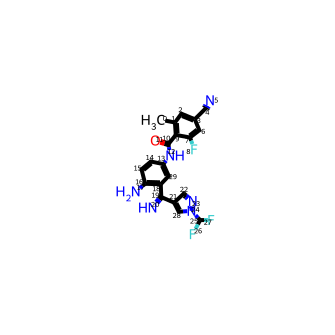 Cc1cc(C#N)cc(F)c1C(=O)Nc1ccc(N)c(C(=N)c2cnn(C(F)F)c2)c1